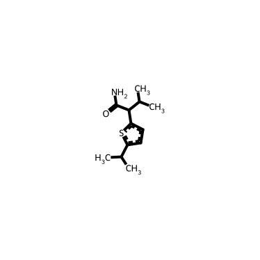 CC(C)c1ccc(C(C(N)=O)C(C)C)s1